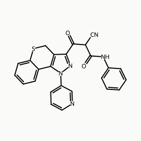 N#CC(C(=O)Nc1ccccc1)C(=O)c1nn(-c2cccnc2)c2c1CSc1ccccc1-2